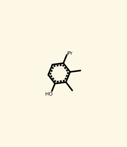 Cc1c(O)ccc(C(C)C)c1C